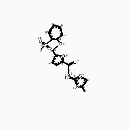 Cc1csc(NC(=O)c2ccc(COc3ccccc3S(C)(=O)=O)o2)n1